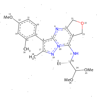 CC[C@H](Nc1c2c(nc3c(-c4ccc(OC)cc4C)c(C)nn13)COC2)C(OC)OC